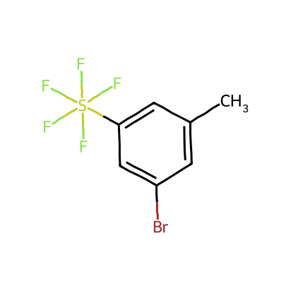 Cc1cc(Br)cc(S(F)(F)(F)(F)F)c1